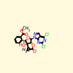 COC(=O)c1ccccc1[C@H]1O[C@@H](n2ncc3c(Cl)nc(Cl)nc32)[C@H](OC(C)=O)[C@@]1(O)C1CC1